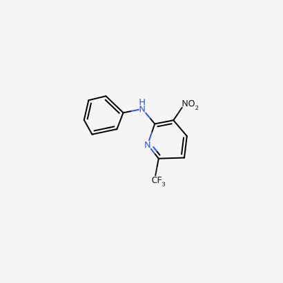 O=[N+]([O-])c1ccc(C(F)(F)F)nc1Nc1ccccc1